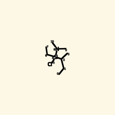 CCC(C)[Si](Cl)(CC)N(C)C